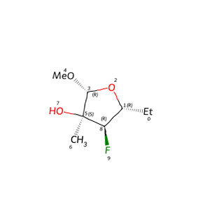 CC[C@H]1O[C@@H](OC)[C@](C)(O)[C@@H]1F